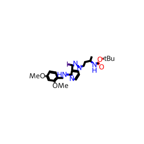 COc1ccc(CNc2nccc3c2c(I)nn3CCC(C)NC(=O)OC(C)(C)C)c(OC)c1